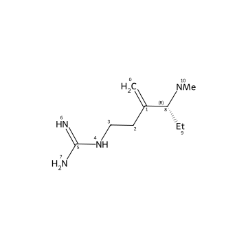 C=C(CCNC(=N)N)[C@@H](CC)NC